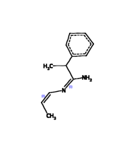 C/C=C\N=C(\N)C(C)c1ccccc1